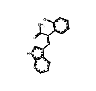 NC(=O)C(=Cc1c[nH]c2ncccc12)c1ccccc1Cl